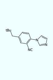 [C-]#[N+]c1cc(CC(C)(C)C)ccc1-n1ccnc1